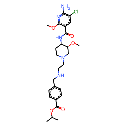 COc1nc(N)c(Cl)cc1C(=O)N[C@@H]1CCN(CCNCc2ccc(C(=O)OC(C)C)cc2)C[C@@H]1OC